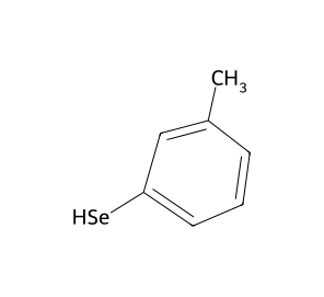 Cc1cccc([SeH])c1